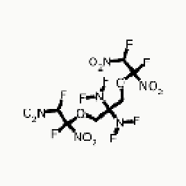 O=[N+]([O-])C(F)C(F)(OCC(COC(F)(C(F)[N+](=O)[O-])[N+](=O)[O-])(N(F)F)N(F)F)[N+](=O)[O-]